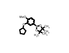 COc1ccc(B2OC(C)(C)C(C)(C)O2)cc1OC1CCCC1